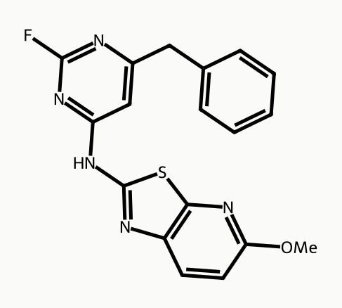 COc1ccc2nc(Nc3cc(Cc4ccccc4)nc(F)n3)sc2n1